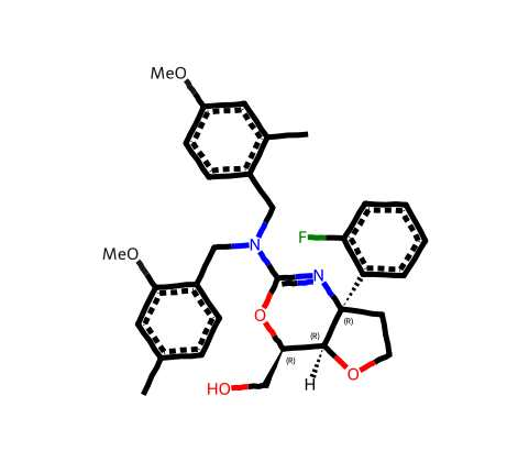 COc1ccc(CN(Cc2ccc(C)cc2OC)C2=N[C@@]3(c4ccccc4F)CCO[C@H]3[C@@H](CO)O2)c(C)c1